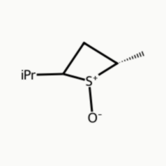 CC(C)C1C[C@H](C)[S+]1[O-]